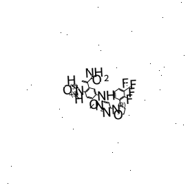 C=C(C(N)=O)c1cc(Nc2cc(N3OCC[C@@H]3c3cccc(C(F)(F)F)c3F)ncn2)c(OC)cc1N1C[C@@H]2C[C@H]1CO2